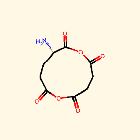 N[C@H]1CCC(=O)OC(=O)CCC(=O)OC1=O